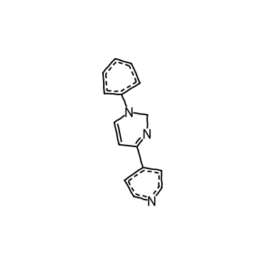 C1=CN(c2ccccc2)CN=C1c1ccncc1